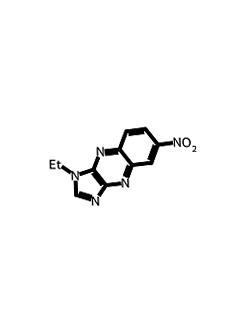 CCn1cnc2nc3cc([N+](=O)[O-])ccc3nc21